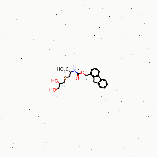 O=C(N[C@@H](CSC[C@H](O)CO)C(=O)O)OCc1cccc2c1Cc1ccccc1-2